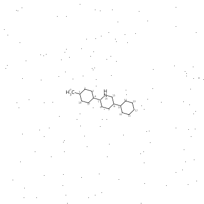 CC1CCC(C2CCC(C3CCCCC3)CN2)CC1